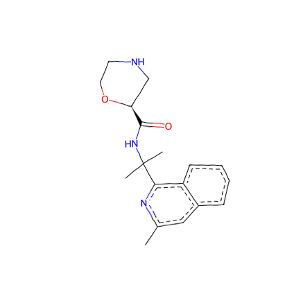 Cc1cc2ccccc2c(C(C)(C)NC(=O)[C@@H]2CNCCO2)n1